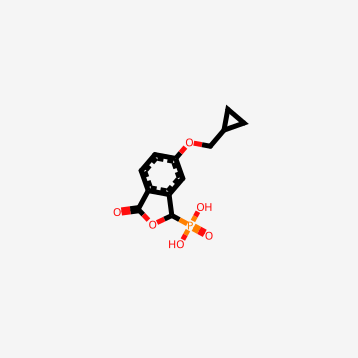 O=C1OC(P(=O)(O)O)c2cc(OCC3CC3)ccc21